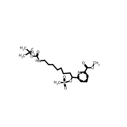 COC(=O)c1cccc(C(CCCCCCCNC(=O)OC(C)(C)C)OS(C)(=O)=O)n1